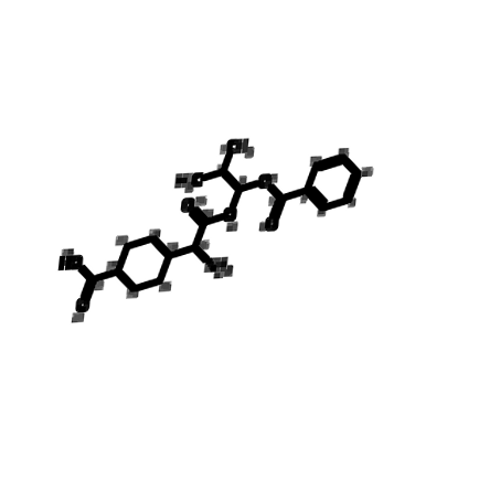 CC(C)C(OC(=O)c1ccccc1)OC(=O)C(N)C1CCC(C(=O)O)CC1